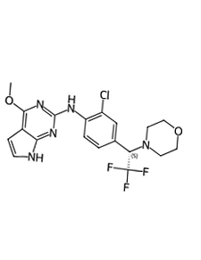 COc1nc(Nc2ccc([C@H](N3CCOCC3)C(F)(F)F)cc2Cl)nc2[nH]ccc12